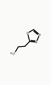 CC[CH]c1nnco1